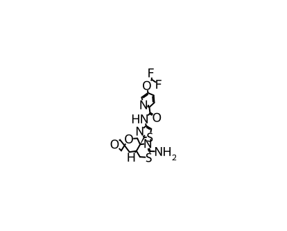 NC1=N[C@@]2(c3nc(NC(=O)c4ccc(OC(F)F)cn4)cs3)COC3(COC3)C[C@H]2CS1